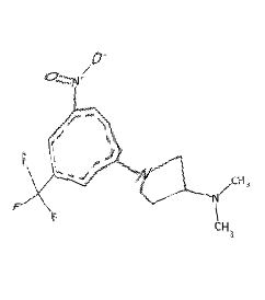 CN(C)C1CN(c2cc([N+](=O)[O-])cc(C(F)(F)F)c2)C1